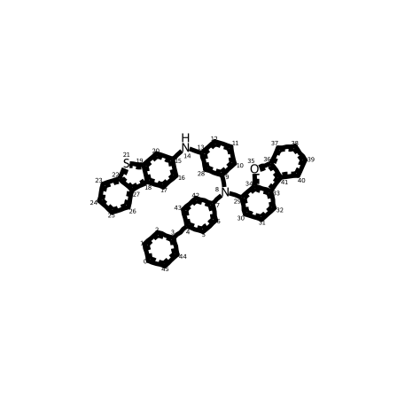 c1ccc(-c2ccc(N(c3cccc(Nc4ccc5c(c4)sc4ccccc45)c3)c3cccc4c3oc3ccccc34)cc2)cc1